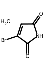 O.O=C1C=C(Br)C(=O)N1